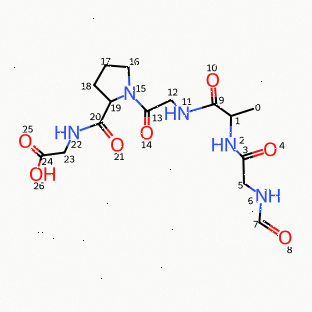 CC(NC(=O)CNC=O)C(=O)NCC(=O)N1CCCC1C(=O)NCC(=O)O